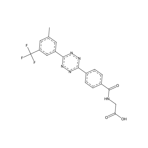 Cc1cc(-c2nnc(-c3ccc(C(=O)NCC(=O)O)cc3)nn2)cc(C(F)(F)F)c1